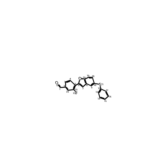 O=Cc1ccc(-c2cc3cc(Sc4ccccc4)ccc3o2)c(F)c1